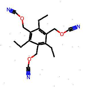 CCc1c(COC#N)c(CC)c(COC#N)c(CC)c1COC#N